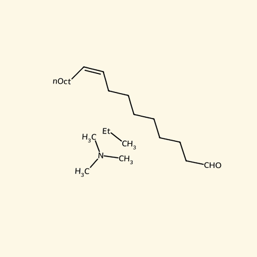 CCC.CCCCCCCC/C=C\CCCCCCCC=O.CN(C)C